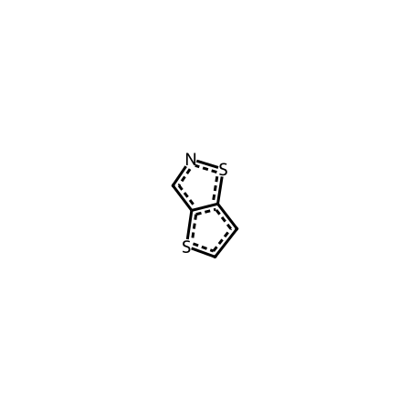 c1cc2sncc2s1